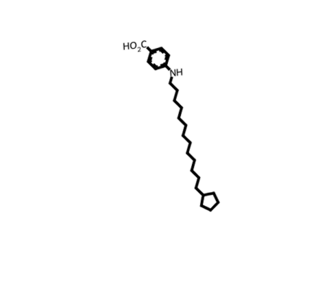 O=C(O)c1ccc(NCCCCCCCCCCCCCC2CCCC2)cc1